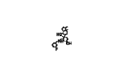 C=C1CCC2C(O)C(C3(C)CCC(O)CC3CNCc3cccc(F)c3)CCC12C